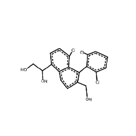 OCc1ccc2c(C(O)CO)ccc(Cl)c2c1-c1c(Cl)cccc1Cl